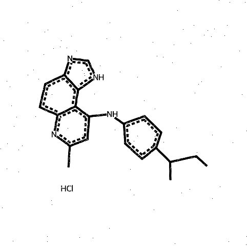 CCC(C)c1ccc(Nc2cc(C)nc3ccc4nc[nH]c4c23)cc1.Cl